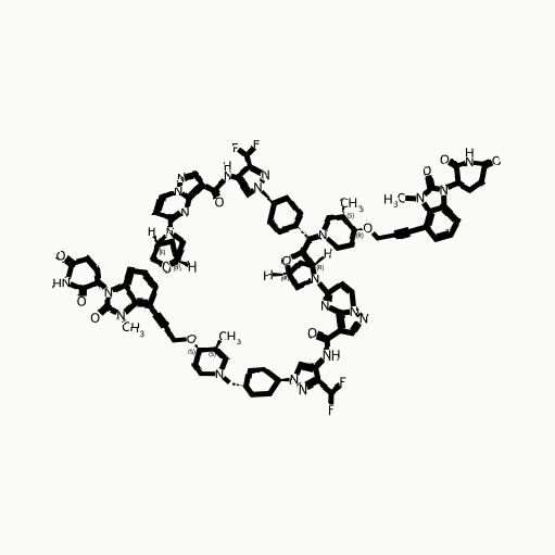 C[C@H]1CN(C[C@H]2CC[C@H](n3cc(NC(=O)c4cnn5ccc(N6C[C@H]7C[C@@H]6C(C([C@H]6CC[C@H](n8cc(NC(=O)c9cnn%10ccc(N%11C[C@H]%12C[C@@H]%11CO%12)nc9%10)c(C(F)F)n8)CC6)N6CC[C@@H](OCC#Cc8cccc9c8n(C)c(=O)n9C8CCC(=O)NC8=O)[C@@H](C)C6)O7)nc45)c(C(F)F)n3)CC2)CC[C@@H]1OCC#Cc1cccc2c1n(C)c(=O)n2C1CCC(=O)NC1=O